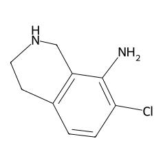 Nc1c(Cl)ccc2c1CNCC2